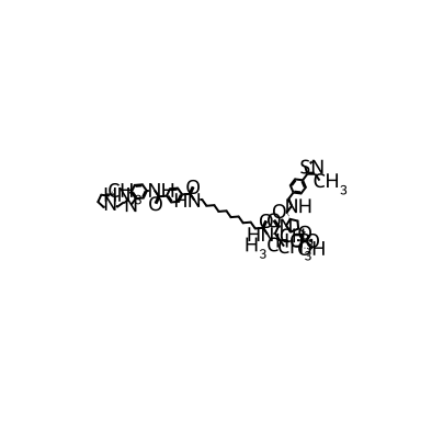 Cc1ncsc1-c1ccc(CNC(=O)[C@@H]2C[C@@H](OP(=O)(O)O)CN2C(=O)[C@@H](NC(=O)CCCCCCCCCCNC(=O)c2ccc(C(=O)Nc3ccc4[nH]c(CN5CCC[C@@H]5C)nc4c3)cc2)C(C)(C)C)cc1